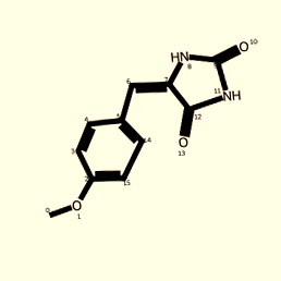 COc1ccc(/C=C2/NC(=O)NC2=O)cc1